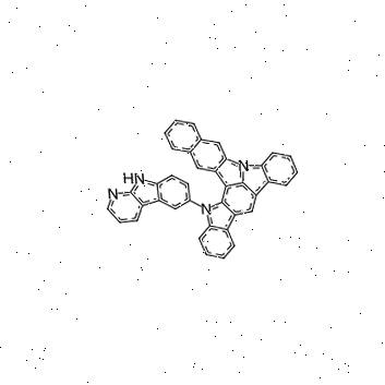 c1ccc2cc3c(cc2c1)c1c2c(cc4c5ccccc5n3c41)c1ccccc1n2-c1ccc2[nH]c3ncccc3c2c1